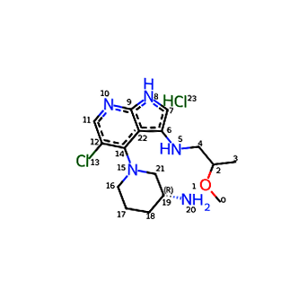 COC(C)CNc1c[nH]c2ncc(Cl)c(N3CCC[C@@H](N)C3)c12.Cl